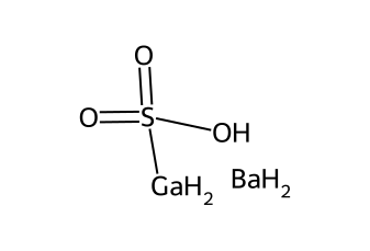 O=[S](=O)(O)[GaH2].[BaH2]